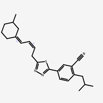 CC(C)Cc1ccc(-c2nnc(C/C=C\C=C3\CCCC(C)C3)s2)cc1C#N